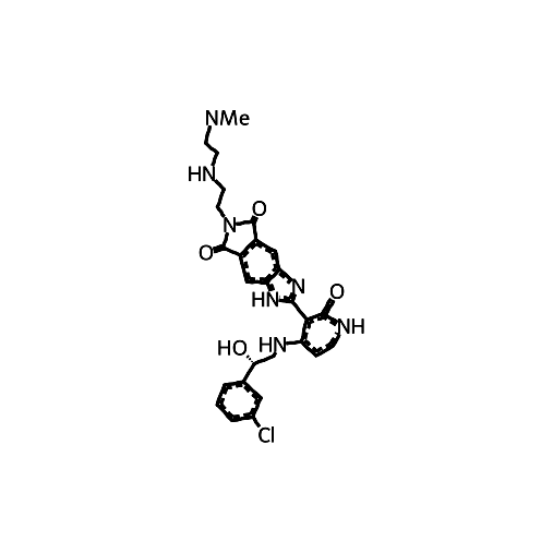 CNCCNCCN1C(=O)c2cc3nc(-c4c(NC[C@@H](O)c5cccc(Cl)c5)cc[nH]c4=O)[nH]c3cc2C1=O